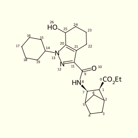 CCOC(=O)[C@H]1C2CCC(C2)[C@H]1NC(=O)c1nn(C2CCCCC2)c2c1CCCC2O